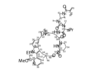 C=C(F)C(=O)N1CC(N(C)C(=O)N(C)[C@H](C(=O)N[C@H]2Cc3nc(cs3)-c3ccc4c(c3)c(c(-c3cccnc3[C@H](C)OC)n4CC)CC(C)(C)COC(=O)[C@@H]3CCCN(N3)C2=O)C(C)C)C1